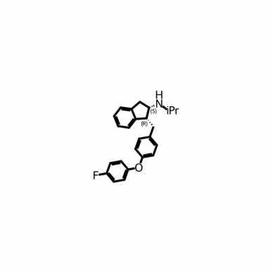 CC(C)N[C@H]1Cc2ccccc2[C@H]1Cc1ccc(Oc2ccc(F)cc2)cc1